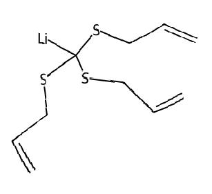 [Li][C](SCC=C)(SCC=C)SCC=C